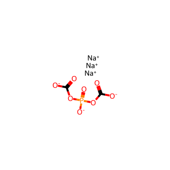 O=C([O-])OP(=O)([O-])OC(=O)[O-].[Na+].[Na+].[Na+]